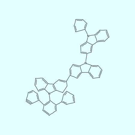 c1cccc(-c2cccc(-c3ccccc3)c2-n2c3c(c4ccccc42)C=C(c2ccc4c(c2)c2ccccc2n4-c2ccc4c(c2)c2ccccc2n4-c2ccccc2)CC3)c#1